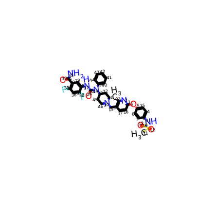 Cc1nc(Oc2ccc(NS(C)(=O)=O)cc2)ccc1CN1CCC(N(C(=O)Nc2cc(C(N)=O)c(F)cc2F)c2ccccc2)CC1